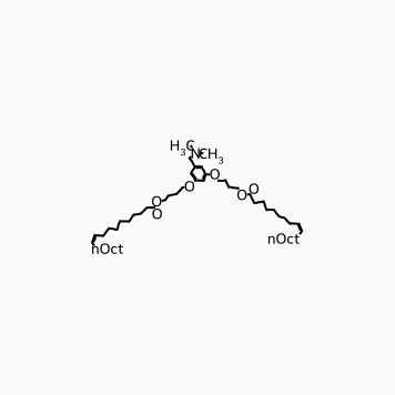 CCCCCCCC/C=C\CCCCCCCCC(=O)OCCCCOc1cc(CN(C)C)cc(OCCCCOC(=O)CCCCCCC/C=C\CCCCCCCC)c1